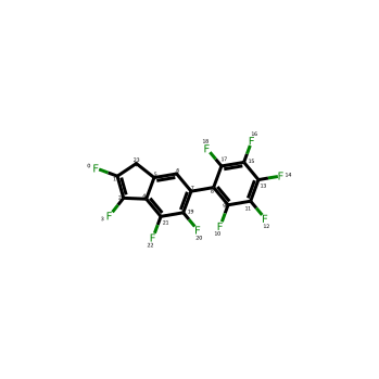 FC1=C(F)c2c(cc(-c3c(F)c(F)c(F)c(F)c3F)c(F)c2F)[CH]1